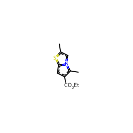 CCOC(=O)c1cc2sc(C)cn2c1C